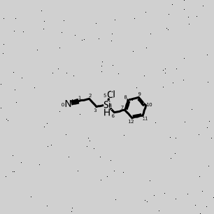 N#CCC[SiH](Cl)Cc1ccccc1